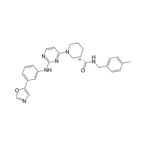 Cc1ccc(CNC(=O)[C@H]2CCCN(c3ccnc(Nc4cccc(-c5cnco5)c4)n3)C2)cc1